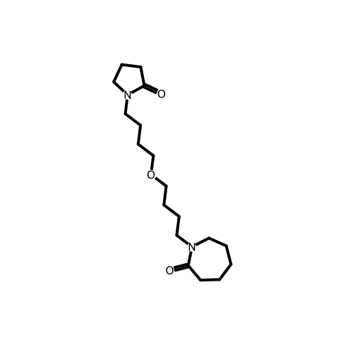 O=C1CCCCCN1CCCCOCCCCN1CCCC1=O